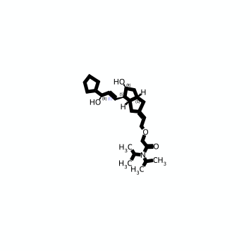 CC(C)N(C(=O)COCC=C1C[C@H]2C[C@@H](O)[C@H](/C=C/[C@H](O)C3CCCC3)[C@H]2C1)C(C)C